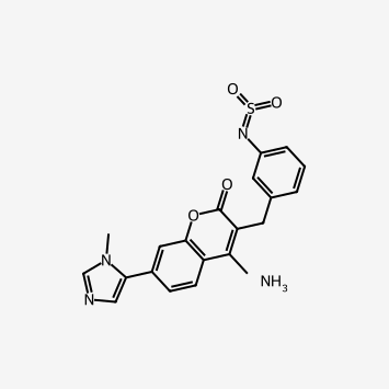 Cc1c(Cc2cccc(N=S(=O)=O)c2)c(=O)oc2cc(-c3cncn3C)ccc12.N